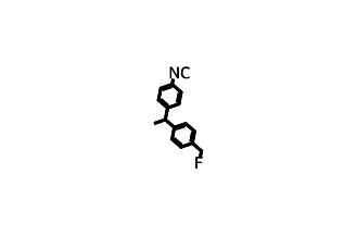 [C-]#[N+]c1ccc(C(C)c2ccc(CF)cc2)cc1